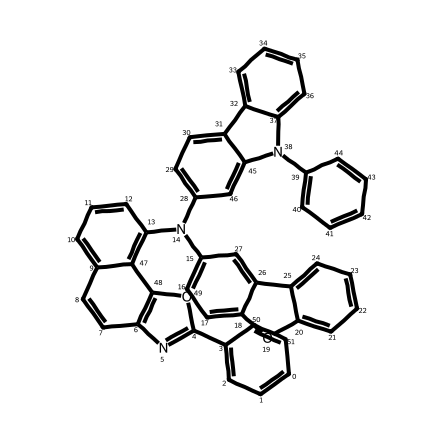 c1ccc(-c2nc3ccc4cccc(N(c5ccc6oc7ccccc7c6c5)c5ccc6c7ccccc7n(-c7ccccc7)c6c5)c4c3o2)cc1